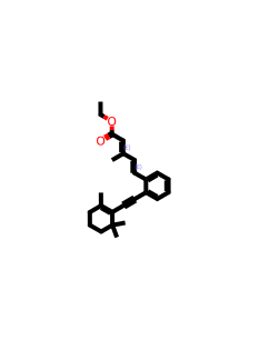 CCOC(=O)/C=C(C)/C=C/c1ccccc1C#CC1=C(C)CCCC1(C)C